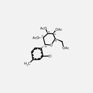 [CH2]c1ccc([C@H]2O[C@H](COC(C)=O)[C@H](OC(C)=O)[C@H](OC(C)=O)[C@H]2OC(C)=O)c(Cl)c1